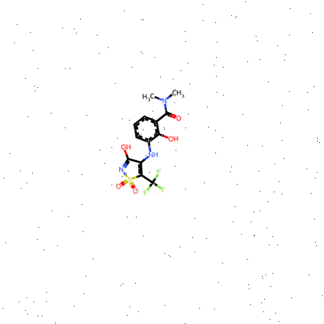 CN(C)C(=O)c1cccc(NC2=C(C(F)(F)F)S(=O)(=O)N=C2O)c1O